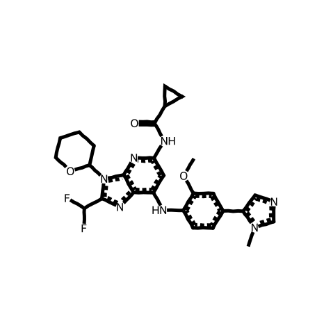 COc1cc(-c2cncn2C)ccc1Nc1cc(NC(=O)C2CC2)nc2c1nc(C(F)F)n2C1CCCCO1